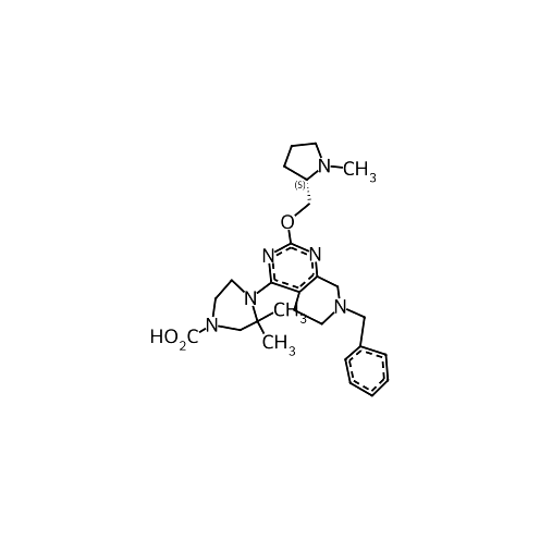 CN1CCC[C@H]1COc1nc2c(c(N3CCN(C(=O)O)CC3(C)C)n1)CCN(Cc1ccccc1)C2